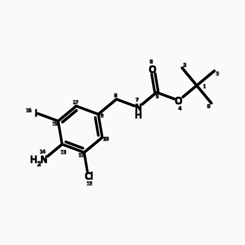 CC(C)(C)OC(=O)NCc1cc(Cl)c(N)c(I)c1